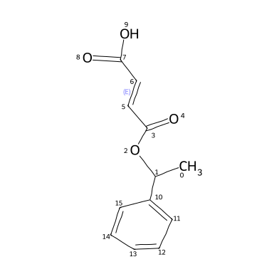 CC(OC(=O)/C=C/C(=O)O)c1ccccc1